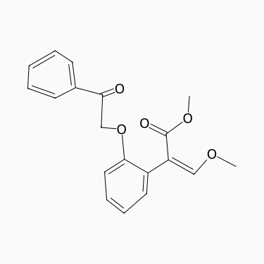 COC=C(C(=O)OC)c1ccccc1OCC(=O)c1ccccc1